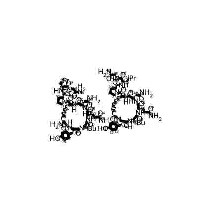 CC[C@H](C)[C@@H]1NC(=O)[C@H](Cc2ccc(O)cc2)N(C)C(=O)CCCSC[C@@H](C(=O)N2CCC[C@H]2C(=O)N[C@@H](CC(C)C)C(=O)NCC(N)=O)NC(=O)[C@H](CC(N)=O)NC(=O)[C@H](CCC(N)=O)NC1=O.CC[C@H](C)[C@@H]1NC(=O)[C@H](Cc2ccc(O)cc2)NC(=O)[C@@H](N)CSSC[C@@H](C(=O)N2CCC[C@H]2C(=O)N[C@@H](CC(C)C)C(=O)NCC(N)=O)NC(=O)[C@H](CC(N)=O)NC(=O)[C@H](CCC(N)=O)NC1=O